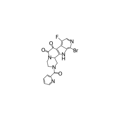 O=C1C(=O)N2CCN(C(=O)c3ccccn3)CC2c2[nH]c3c(Br)ncc(F)c3c21